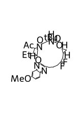 CC[C@@H]1[C@@H]2CN(C(=O)[C@H](C(C)(C)C)NC(=O)O[C@@H]3C[C@H]3CC(F)(F)CCCc3nc4ccc(OC)cc4nc3O2)[C@@H]1C(C)=O